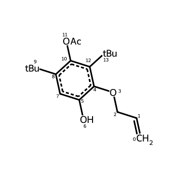 C=CCOc1c(O)cc(C(C)(C)C)c(OC(C)=O)c1C(C)(C)C